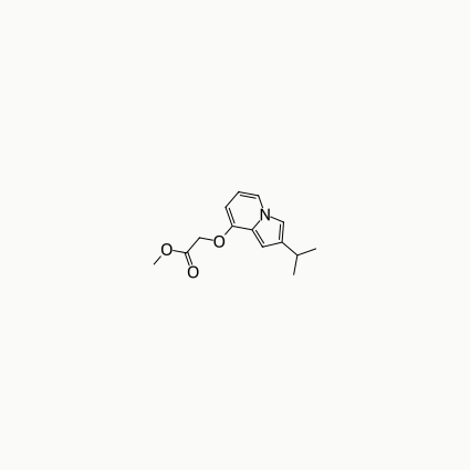 COC(=O)COc1cccn2cc(C(C)C)cc12